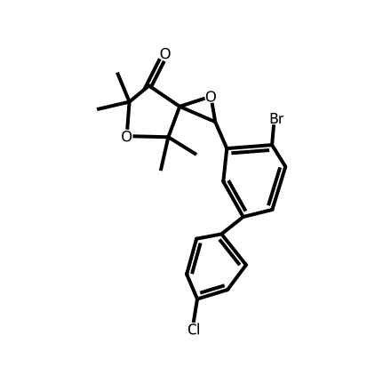 CC1(C)OC(C)(C)C2(OC2c2cc(-c3ccc(Cl)cc3)ccc2Br)C1=O